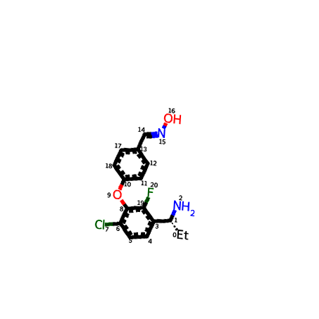 CC[C@@H](N)c1ccc(Cl)c(Oc2ccc(C=NO)cc2)c1F